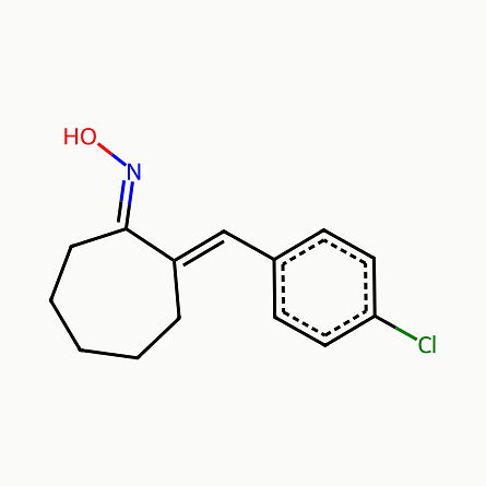 ON=C1CCCCCC1=Cc1ccc(Cl)cc1